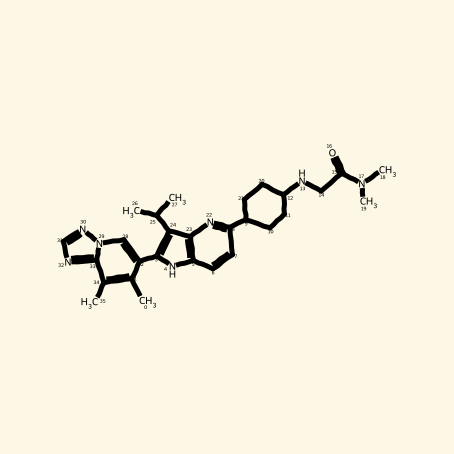 Cc1c(-c2[nH]c3ccc(C4CCC(NCC(=O)N(C)C)CC4)nc3c2C(C)C)cn2ncnc2c1C